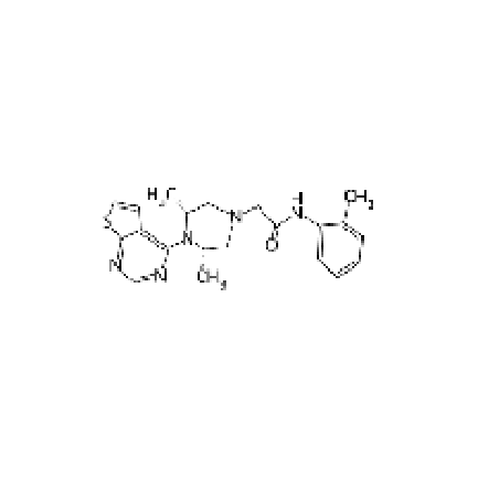 Cc1ccccc1NC(=O)CN1C[C@@H](C)N(c2ncnc3sccc23)[C@@H](C)C1